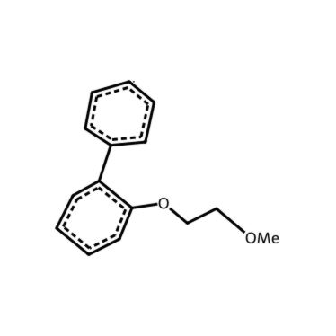 COCCOc1ccccc1-c1cc[c]cc1